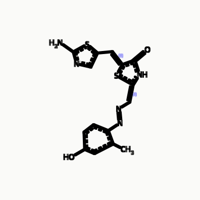 Cc1cc(O)ccc1N=N/C=c1/[nH]c(=O)/c(=C/c2cnc(N)s2)s1